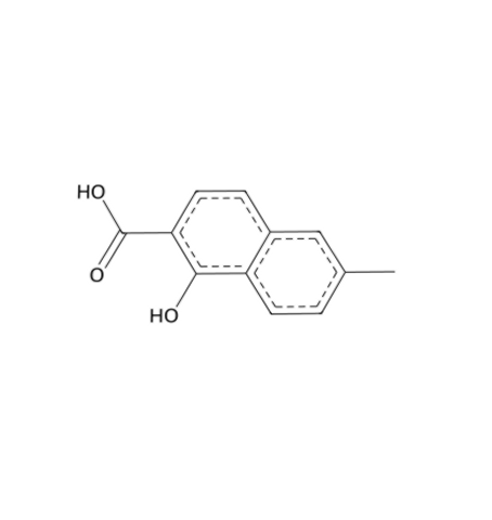 Cc1ccc2c(O)c(C(=O)O)ccc2c1